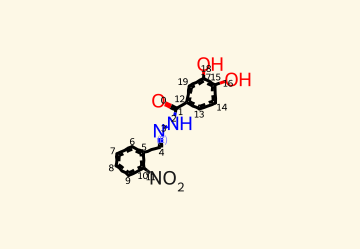 O=C(N/N=C/c1ccccc1[N+](=O)[O-])c1ccc(O)c(O)c1